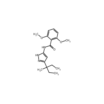 CCC(C)(CC)c1cc(NC(=O)c2c(OC)cccc2OC)[nH]n1